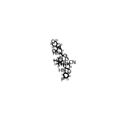 CC1(C)[C@@H]2[C@@H](C(=O)N[C@H](C#N)C[C@@H]3Oc4ccc(F)cc4NC3=O)N(C(=O)[C@H](CC3CC3)NC(=O)CC3CCOCC3)C[C@@H]21